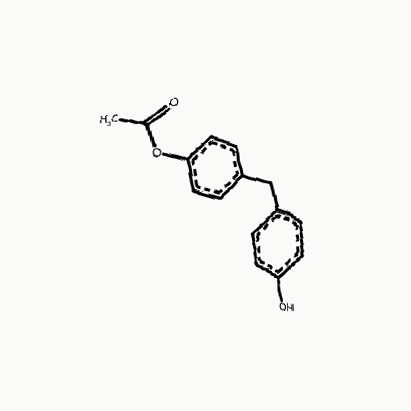 CC(=O)Oc1ccc(Cc2ccc(O)cc2)cc1